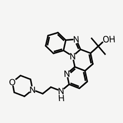 CC(C)(O)c1cc2ccc(NCCN3CCOCC3)nc2n2c1nc1ccccc12